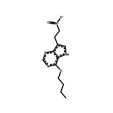 CCCCOc1ncnc2c(CC[N+](=O)[O-])c[nH]c12